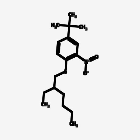 CCCCC(CC)CSc1ccc(C(C)(C)C)cc1[N+](=O)[O-]